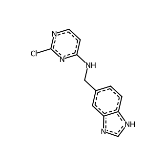 Clc1nccc(NCc2ccc3[nH]cnc3c2)n1